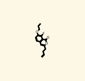 C=CCCc1cc2ccc(OCCC)c(F)c2c(=O)o1